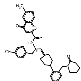 Cc1ccc2oc(C(=O)N[C@@H](C=C3CCC(c4ccccc4CN4CCCCC4=O)CC3)Cc3ccc(Cl)cc3)cc(=O)c2c1